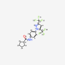 O=C(Nc1ccc(-n2nc(C(F)(F)F)cc2C(F)(F)F)cc1)C1CCCC1